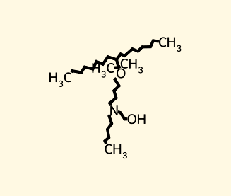 CCCCCCCCC(CCCCCCCC)C(C)(C)OCCCCCN(CCO)CCCCCC